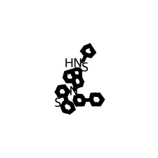 c1ccc(-c2cccc(N(c3ccc4c5c(cccc35)C3=C4SC(c4ccccc4)N3)c3cccc4sc5ccccc5c34)c2)cc1